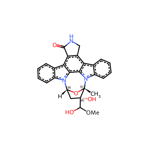 COC(O)[C@@]1(O)C[C@H]2O[C@]1(C)n1c3ccccc3c3c4c(c5c6ccccc6n2c5c31)C(=O)NC4